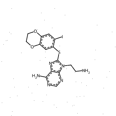 NCCn1c(Sc2cc3c(cc2I)OCCO3)nc2c(N)ncnc21